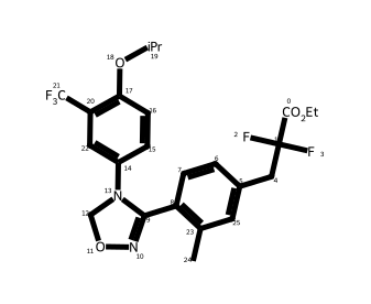 CCOC(=O)C(F)(F)Cc1ccc(C2=NOCN2c2ccc(OC(C)C)c(C(F)(F)F)c2)c(C)c1